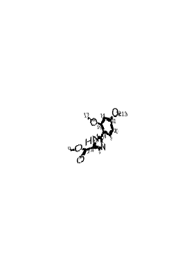 COC(=O)c1cnc(-c2ccc(OC)cc2OC)[nH]1